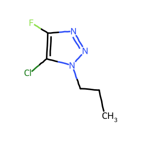 CCCn1nnc(F)c1Cl